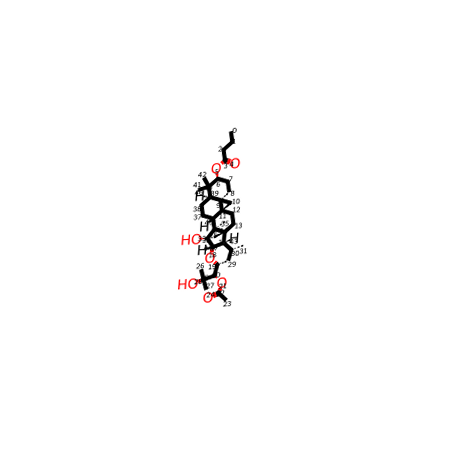 CCCC(=O)O[C@H]1CC[C@]23C[C@]24CC[C@]2(C)[C@@H]5[C@H](O[C@@H]([C@H](OC(C)=O)C(C)(C)O)C[C@H]5C)[C@H](O)[C@@]2(C)[C@@H]4CC[C@H]3C1(C)C